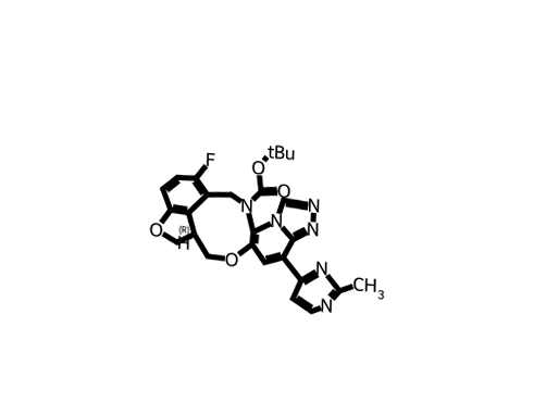 Cc1nccc(-c2cc3c(n4cnnc24)N(C(=O)OC(C)(C)C)Cc2c(F)ccc4c2[C@H](CO4)CO3)n1